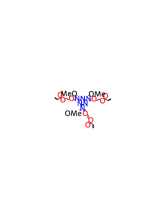 C=CC(=O)OCCOCN(COC)c1nc(N(COC)COCCOC(=O)C=C)nc(N(COC)COCCOC(=O)C=C)n1